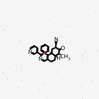 C[C@@H]1C(=O)C(C#N)C[C@]2(c3ccccc3)c3nc(-c4cccnc4)ncc3CC[C@@H]12